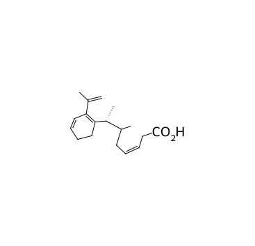 C=C(C)C1=C([C@H](C)C(C)C/C=C\CC(=O)O)CCC=C1